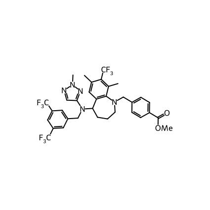 COC(=O)c1ccc(CN2CCCC(N(Cc3cc(C(F)(F)F)cc(C(F)(F)F)c3)c3cnn(C)n3)c3cc(C)c(C(F)(F)F)c(C)c32)cc1